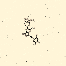 C[C@@H]1OCC2(CCN(c3nc4[nH]nc(C#Cc5cc(F)c(F)cc5F)c4nc3CF)CC2)[C@@H]1N